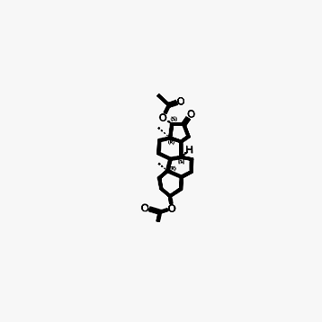 CC(=O)OC1CC[C@]2(C)C(CC[C@H]3C2CC[C@]2(C)C3CC(=O)[C@H]2OC(C)=O)C1